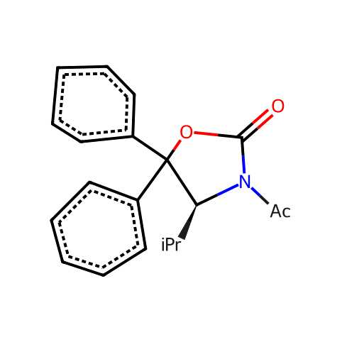 CC(=O)N1C(=O)OC(c2ccccc2)(c2ccccc2)[C@@H]1C(C)C